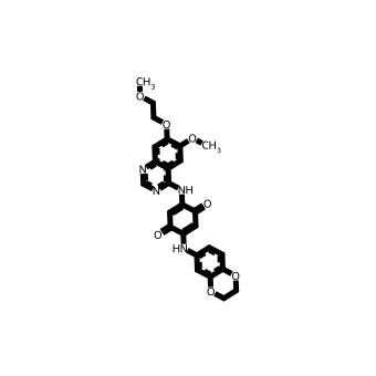 COCCOc1cc2ncnc(NC3=CC(=O)C(Nc4ccc5c(c4)OCCO5)=CC3=O)c2cc1OC